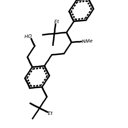 CCC(C)(C)Cc1ccc(CCO)c(CCC(NC)C(c2ccccc2)C(C)(C)CC)c1